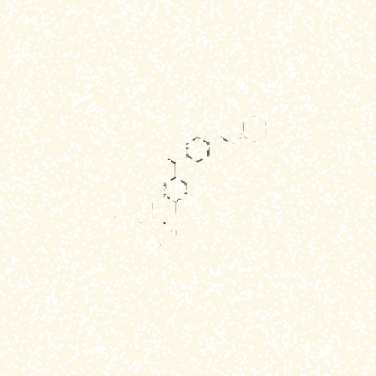 NC1(CCO)Oc2ccc(C(=O)c3ccc(C=NN4CCCCC4)cc3)cc2CC1CC(=O)O